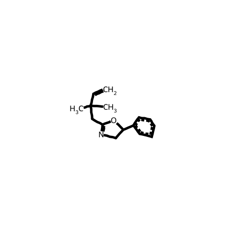 C=CC(C)(C)CC1=NCC(c2ccccc2)O1